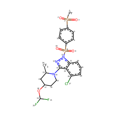 CC(C)S(=O)(=O)c1ccc(S(=O)(=O)n2nc(N3CCC(OC(F)F)CC3C(F)(F)F)c3c(Cl)cccc32)cc1